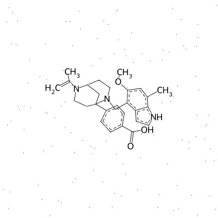 C=C(C)N1CCC2(c3ccc(C(=O)O)cc3)CC1CCN2Cc1c(OC)cc(C)c2[nH]ccc12